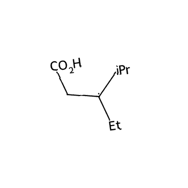 CC[C](CC(=O)O)C(C)C